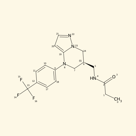 CCC(=O)NC[C@H]1CN(c2ccc(C(F)(F)F)cc2)c2ccnn2C1